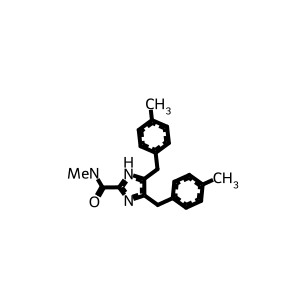 CNC(=O)c1nc(Cc2ccc(C)cc2)c(Cc2ccc(C)cc2)[nH]1